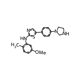 COc1ccc(C)c(Nc2ncc(-c3ccc(N4CCNC4)cc3)s2)c1